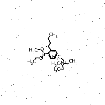 CCCCc1ccccc1B(OC)OCC.CC[N+](C)(CC)CC